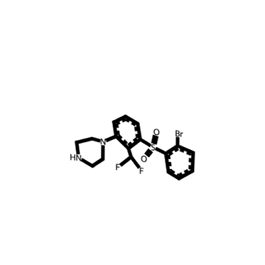 O=S(=O)(c1ccccc1Br)c1cccc(N2CCNCC2)c1C(F)F